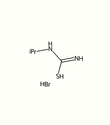 Br.CC(C)NC(=N)S